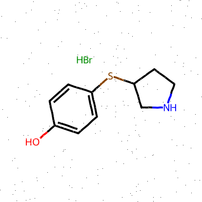 Br.Oc1ccc(SC2CCNC2)cc1